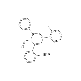 Cc1cccnc1C1=CN(c2ccccc2)C(C=O)C(c2ccccc2C#N)=C1